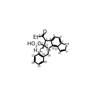 CCC(=O)C1c2ccc3sccc3c2N(Cc2ccccc2)C1(C)C(=O)O